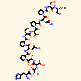 CC[C@H](C)[C@H](NC(=O)[C@@H](N)Cc1c[nH]cn1)C(=O)N[C@H](C(=O)N[C@H](C(=O)N1CCC[C@H]1C(=O)N[C@@H](CC(N)=O)C(=O)N1CCC[C@H]1C(=O)N[C@@H](CC(C)C)C(=O)N[C@H](C(=O)N1CCC[C@H]1C(=O)N[C@@H](CC(N)=O)C(=O)N1CCC[C@H]1C(=O)N[C@@H](CO)C(=O)N[C@@H](CC(C)C)C(=O)O)[C@@H](C)O)C(C)C)[C@@H](C)O